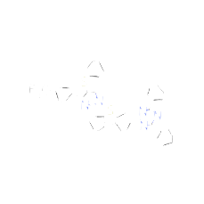 FC(F)(F)c1ccc(-c2nc(-c3cccc4c3sc3cc(-c5nc(-c6ccccc6)nc(-c6ccccc6)n5)ccc34)ncc2Sc2ccccc2)cc1